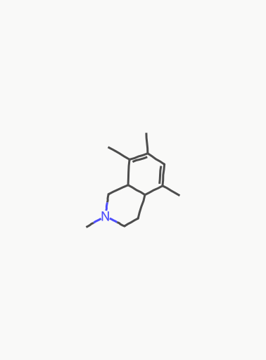 CC1=CC(C)=C(C)C2CN(C)CCC12